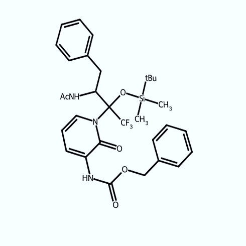 CC(=O)NC(Cc1ccccc1)C(O[Si](C)(C)C(C)(C)C)(n1cccc(NC(=O)OCc2ccccc2)c1=O)C(F)(F)F